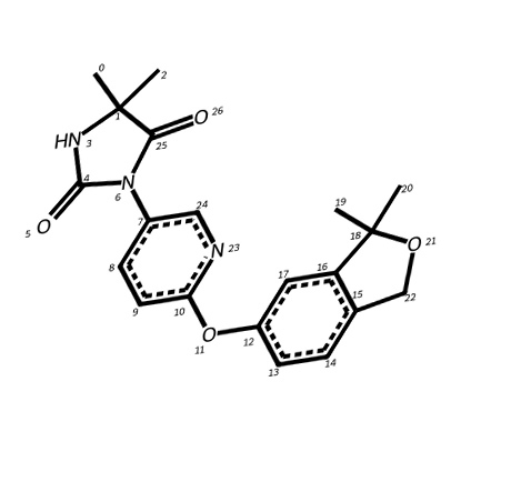 CC1(C)NC(=O)N(c2ccc(Oc3ccc4c(c3)C(C)(C)OC4)nc2)C1=O